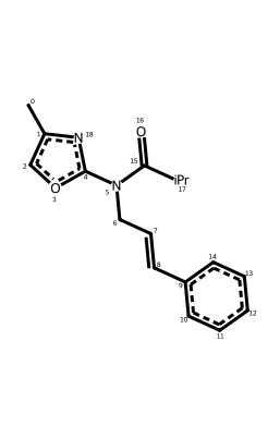 Cc1coc(N(CC=Cc2ccccc2)C(=O)C(C)C)n1